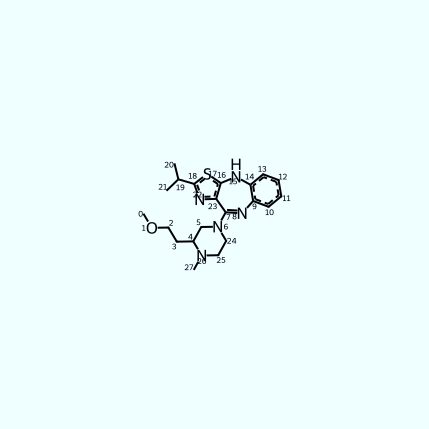 COCCC1CN(C2=Nc3ccccc3Nc3sc(C(C)C)nc32)CCN1C